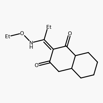 CCONC(CC)=C1C(=O)CC2CCCCC2C1=O